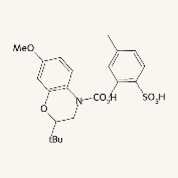 COc1ccc2c(c1)OC(C(C)(C)C)CN2C(=O)O.Cc1ccc(S(=O)(=O)O)c(C)c1